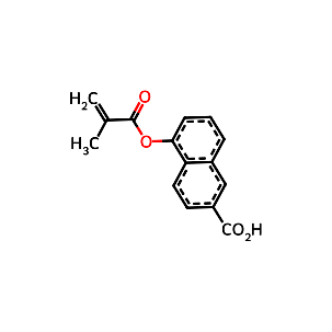 C=C(C)C(=O)Oc1cccc2cc(C(=O)O)ccc12